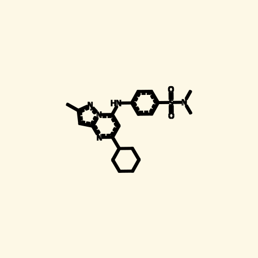 Cc1cc2nc(C3CCCCC3)cc(Nc3ccc(S(=O)(=O)N(C)C)cc3)n2n1